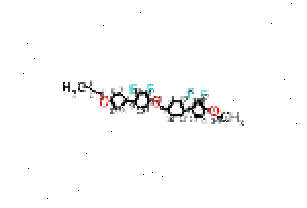 CCCCOc1ccc(-c2ccc(OCc3ccc(-c4ccc(OCC)c(F)c4F)cc3)c(F)c2F)cc1